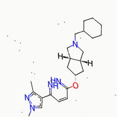 Cc1nn(C)cc1C(=N)/C=C\C(=N)O[C@@H]1C[C@@H]2CN(CC3CCCCC3)C[C@@H]2C1